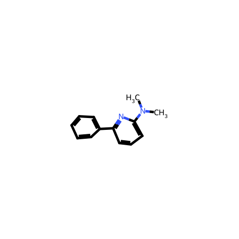 CN(C)c1cccc(-c2ccccc2)n1